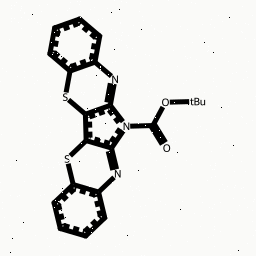 CC(C)(C)OC(=O)n1c2c(c3c1=Nc1ccccc1S3)Sc1ccccc1N=2